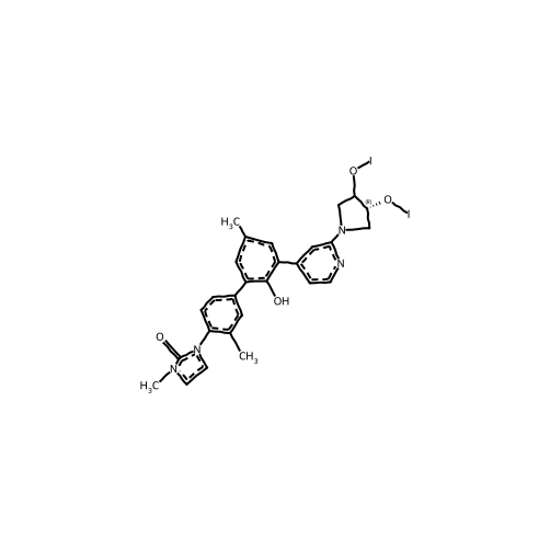 Cc1cc(-c2ccnc(N3CC(OI)[C@H](OI)C3)c2)c(O)c(-c2ccc(-n3ccn(C)c3=O)c(C)c2)c1